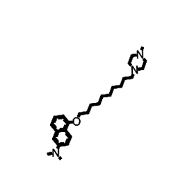 CN1CCN(CCCCCCCCCCOc2cccc3cc(N(C)C)ccc23)CC1